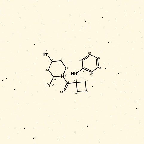 CC(C)C1CCN(C(=O)C2(Nc3ccccc3)CCC2)C(C(C)C)C1